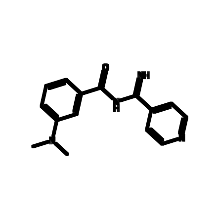 CN(C)c1cccc(C(=O)NC(=N)c2ccncc2)c1